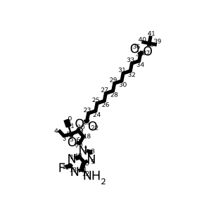 C#C[C@]1(CC)O[C@@H](n2cnc3c(N)nc(F)nc32)C[C@@H]1OC(=O)CCCCCCCCCCCCC(=O)OC(C)(C)C